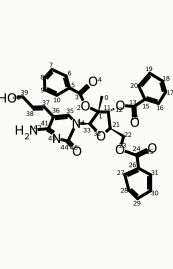 C[C@@]1(OC(=O)c2ccccc2)[C@H](OC(=O)c2ccccc2)[C@@H](COC(=O)c2ccccc2)O[C@H]1n1cc(C=CCO)c(N)nc1=O